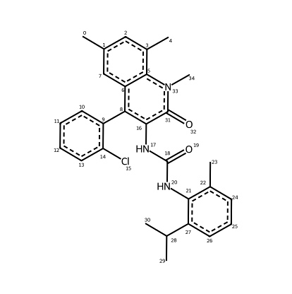 Cc1cc(C)c2c(c1)c(-c1ccccc1Cl)c(NC(=O)Nc1c(C)cccc1C(C)C)c(=O)n2C